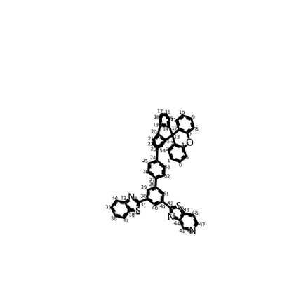 c1ccc2c(c1)Oc1ccccc1C21c2ccccc2-c2ccc(-c3ccc(-c4cc(-c5nc6ccccc6s5)cc(-c5nc6cnccc6s5)c4)cc3)cc21